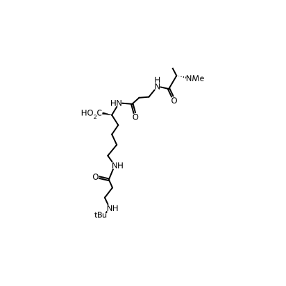 CN[C@@H](C)C(=O)NCCC(=O)N[C@@H](CCCCNC(=O)CCNC(C)(C)C)C(=O)O